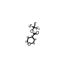 O=C(OC(F)(F)F)C1CCOCC1